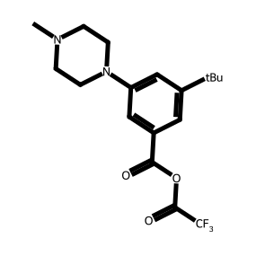 CN1CCN(c2cc(C(=O)OC(=O)C(F)(F)F)cc(C(C)(C)C)c2)CC1